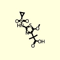 COc1sc(NS(=O)(=O)C2CC2)nc1C(C)(C)C(=O)O